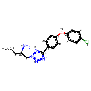 N[C@H](CC(=O)O)Cn1nnc(-c2ccc(Oc3ccc(Cl)cc3)cc2)n1